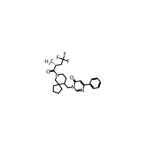 C[C@H](CC(F)(F)F)C(=O)N1CCC(Cn2cnc(-c3ccccc3)cc2=O)C2(CCCC2)C1